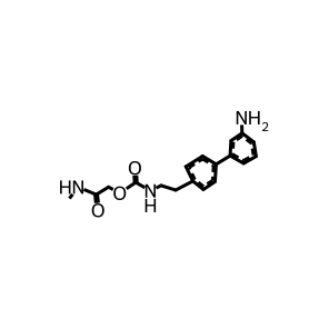 CNC(=O)COC(=O)NCCc1ccc(-c2cccc(N)c2)cc1